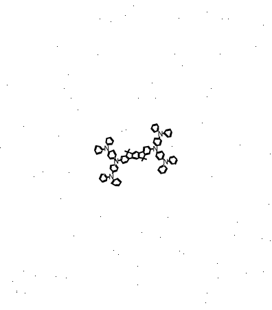 CC1(C)c2cc(N(c3ccc(N(C4=CC=CCC4)c4ccccc4)cc3)c3ccc(N(c4ccccc4)c4ccccc4)cc3)ccc2-c2cc3c(cc21)-c1ccc(N(c2ccc(N(c4ccccc4)c4ccccc4)cc2)c2ccc(N(c4ccccc4)c4ccccc4)cc2)cc1C3(C)C